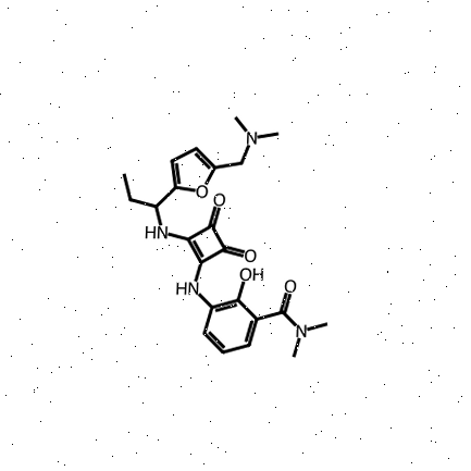 CCC(Nc1c(Nc2cccc(C(=O)N(C)C)c2O)c(=O)c1=O)c1ccc(CN(C)C)o1